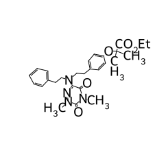 CCOC(=O)C(C)(C)Oc1ccc(CCN(CCc2ccccc2)c2nn(C)c(=O)n(C)c2=O)cc1